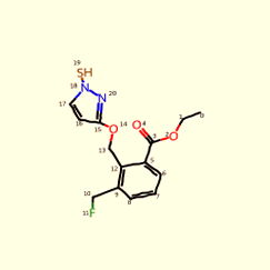 CCOC(=O)c1cccc(CF)c1COc1ccn(S)n1